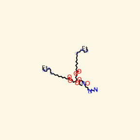 CC/C=C\C/C=C\C/C=C\CCCCCCCCC(=O)OCCC1OC2(CCN(C(=O)CCCN(C)CCN(C)C)CC2)OC1CCOC(=O)CCCCCCCC/C=C\C/C=C\C/C=C\CC